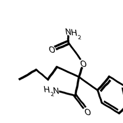 CCCCC(OC(N)=O)(C(N)=O)c1ccccc1